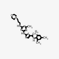 Cc1cc(C)c(NC(=O)c2cnc(Nc3nc(C)nc(NCCCN4CCOCC4)n3)s2)c(C)c1